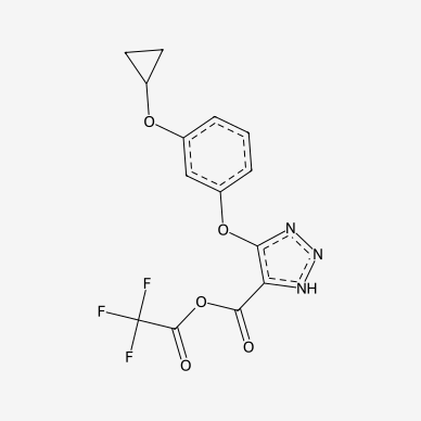 O=C(OC(=O)C(F)(F)F)c1[nH]nnc1Oc1cccc(OC2CC2)c1